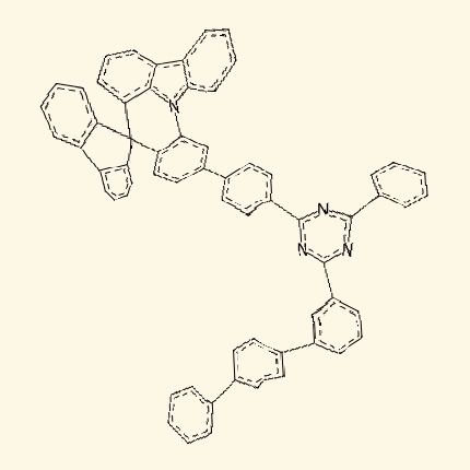 c1ccc(-c2ccc(-c3cccc(-c4nc(-c5ccccc5)nc(-c5ccc(-c6ccc7c(c6)-n6c8ccccc8c8cccc(c86)C76c7ccccc7-c7ccccc76)cc5)n4)c3)cc2)cc1